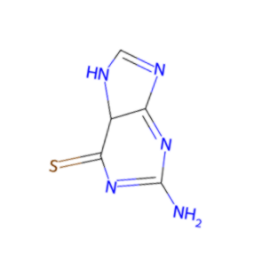 NC1=NC(=S)C2NC=NC2=N1